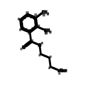 CCCCCCCCCCCCOC(=O)c1cccc(C)c1N